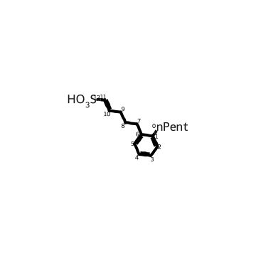 CCCCCc1ccccc1CCCC=CS(=O)(=O)O